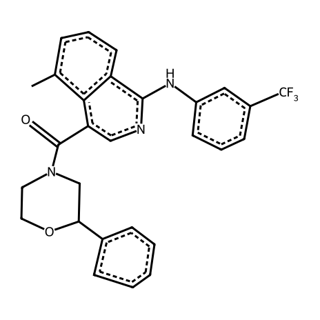 Cc1cccc2c(Nc3cccc(C(F)(F)F)c3)ncc(C(=O)N3CCOC(c4ccccc4)C3)c12